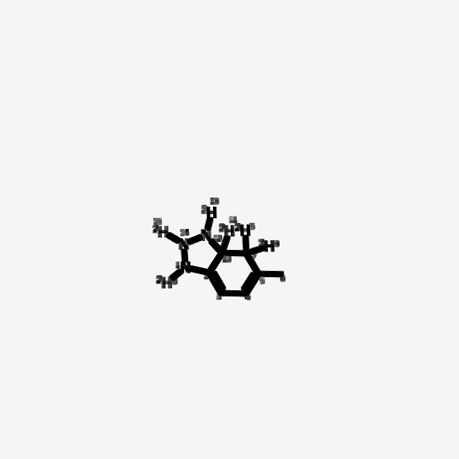 [2H]N1C2=CC=C(C)C([2H])([2H])C2([2H])N([2H])N1[2H]